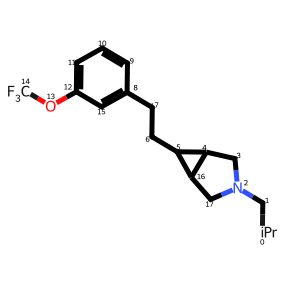 CC(C)CN1CC2C(C[CH]c3cccc(OC(F)(F)F)c3)C2C1